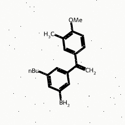 Bc1cc(CCCC)cc(C(=C)c2ccc(OC)c(C)c2)c1